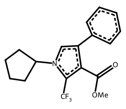 COC(=O)c1c(-c2ccccc2)cn(C2CCCC2)c1C(F)(F)F